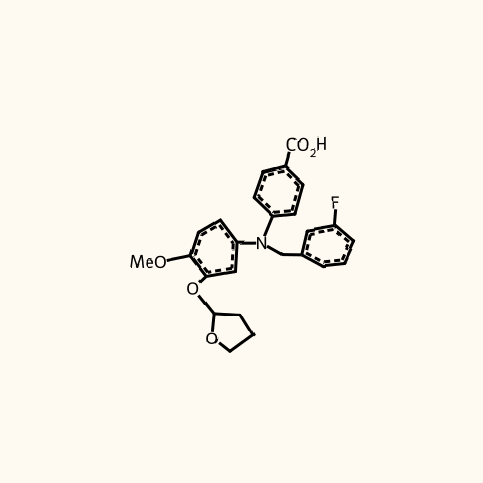 COc1ccc(N(Cc2cccc(F)c2)c2ccc(C(=O)O)cc2)cc1OC1CCCO1